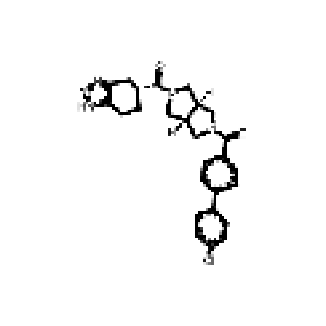 O=C(c1ccc(-c2ccc(Cl)cc2)cc1)N1C[C@@H]2CN(C(=O)[C@@H]3CCc4[nH]nnc4C3)C[C@H]2C1